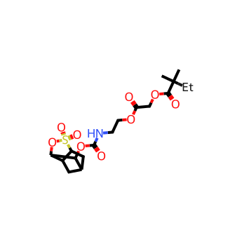 CCC(C)(C)C(=O)OCC(=O)OCCNC(=O)OC1C2CC3C1OS(=O)(=O)C3C2